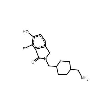 NCC1CCC(CN2Cc3ccc(O)c(F)c3C2=O)CC1